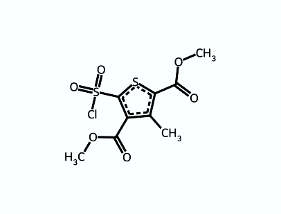 COC(=O)c1sc(S(=O)(=O)Cl)c(C(=O)OC)c1C